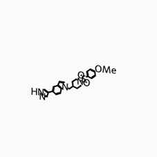 COc1ccc(S(=O)(=O)N2CCC(Cn3ccc4cc(-c5cn[nH]c5)ccc43)CC2)cc1